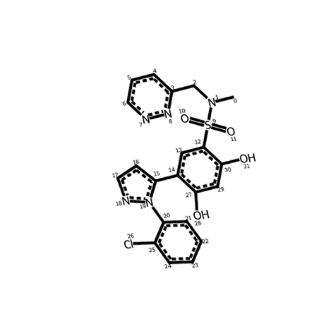 CN(Cc1cccnn1)S(=O)(=O)c1cc(-c2ccnn2-c2ccccc2Cl)c(O)cc1O